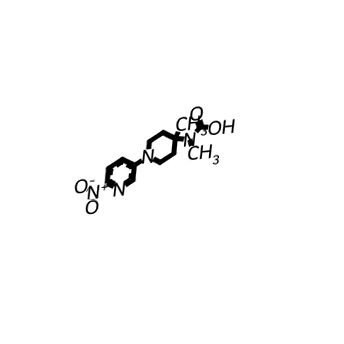 CN(C(=O)O)C1(C)CCN(c2ccc([N+](=O)[O-])nc2)CC1